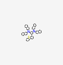 c1ccc2cc(N(c3cc(-c4cccc5c4sc4ccccc45)cc(N(c4ccc5ccccc5c4)c4ccc5ccccc5c4)c3)c3ccc4ccccc4c3)ccc2c1